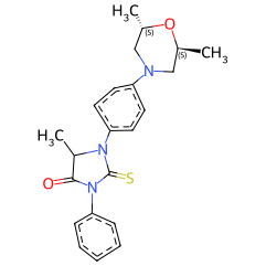 CC1C(=O)N(c2ccccc2)C(=S)N1c1ccc(N2C[C@H](C)O[C@@H](C)C2)cc1